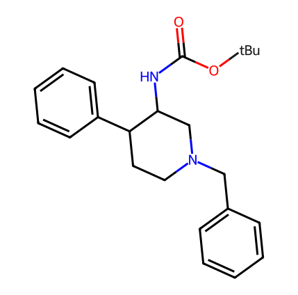 CC(C)(C)OC(=O)NC1CN(Cc2ccccc2)CCC1c1ccccc1